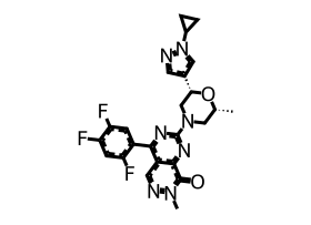 C[C@@H]1CN(c2nc(-c3cc(F)c(F)cc3F)c3cnn(C)c(=O)c3n2)C[C@H](c2cnn(C3CC3)c2)O1